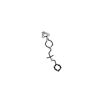 CC(C)(C)OC(=O)N1CCN(CCC(C)(C)SCc2ccccc2)CC1